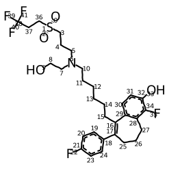 O=S(=O)(CCCN(CCO)CCCCCCC1=C(c2ccc(F)cc2)CCCc2c1ccc(O)c2F)CCC(F)(F)F